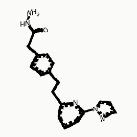 NNC(=O)Cc1ccc(CCc2cccc(-n3cccn3)n2)cc1